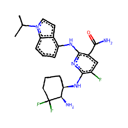 CC(C)n1ccc2c(Nc3nc(N[C@@H]4CCCC(F)(F)[C@@H]4N)c(F)cc3C(N)=O)cccc21